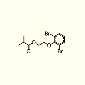 C=C(C)C(=O)OCCOc1c(Br)c[c]cc1Br